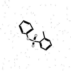 Cc1ccccc1S(=O)(=O)Oc1ccccc1